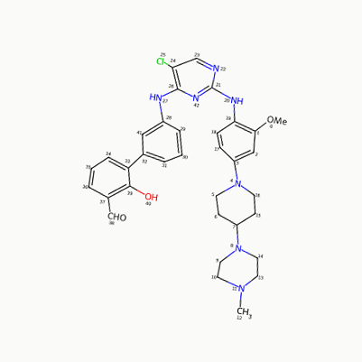 COc1cc(N2CCC(N3CCN(C)CC3)CC2)ccc1Nc1ncc(Cl)c(Nc2cccc(-c3cccc(C=O)c3O)c2)n1